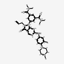 C=CCn1c(=O)c2cnc(Nc3ccc(N4CCN(C)CC4)c(C)c3)nc2n1-c1cc(C(=O)N(C)C)cc(C(=O)N(C)C)c1